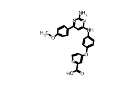 COc1ccc(-c2cc(Nc3ccc(Oc4ccnc(C(=O)O)c4)cc3)nc(N)n2)cc1